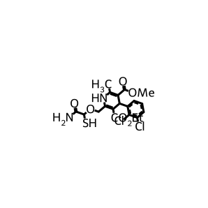 CCOC(=O)C1=C(COC(S)C(N)=O)NC(C)=C(C(=O)OC)C1c1cccc(Cl)c1Cl